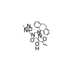 C=CC(=O)/C(O)=C1/C(=O)N(Cc2nc(C)no2)CN(C2c3ccccc3CCc3ccccc32)N1C